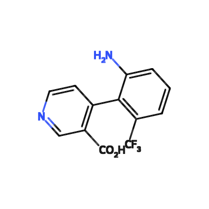 Nc1cccc(C(F)(F)F)c1-c1ccncc1C(=O)O